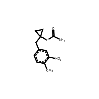 COc1ccc(CC2(OC(N)=O)CC2)cc1[N+](=O)[O-]